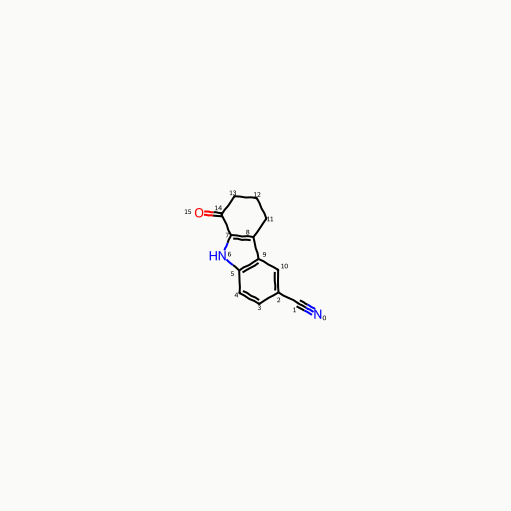 N#Cc1ccc2[nH]c3c(c2c1)CCCC3=O